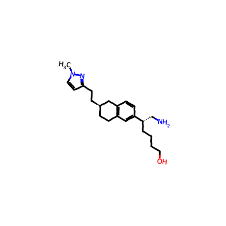 Cn1ccc(CC[C@@H]2CCc3cc([C@H](CN)CCCCO)ccc3C2)n1